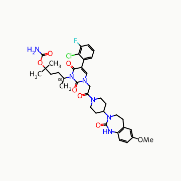 COc1ccc2c(c1)CCN(C1CCN(C(=O)Cn3cc(-c4cccc(F)c4Cl)c(=O)n([C@@H](C)CCC(C)(C)OC(N)=O)c3=O)CC1)C(=O)N2